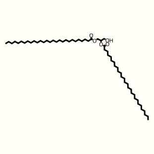 CCCCCCCCCCCCCCCCCCCCCCCCCCCC(=O)OCC(CO)OC(=O)CCCCCCCCCCCCCCCCCCCCCCCCCCC